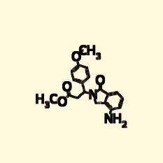 COC(=O)CC(c1ccc(OC)cc1)N1Cc2c(N)cccc2C1=O